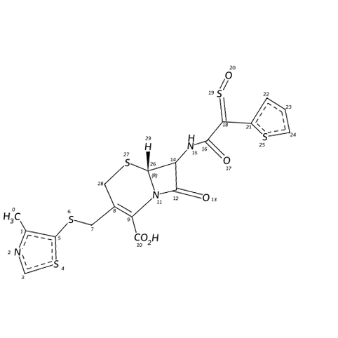 Cc1ncsc1SCC1=C(C(=O)O)N2C(=O)C(NC(=O)C(=S=O)c3cccs3)[C@H]2SC1